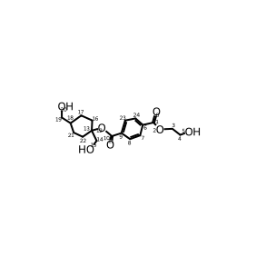 O=C(OCCO)c1ccc(C(=O)OC2(CO)CCC(CO)CC2)cc1